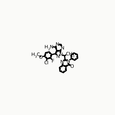 COc1ccc(-c2nn(C(C)c3nc4ccccc4c(=O)n3-c3ccccc3)c3ncnc(N)c23)c(F)c1Cl